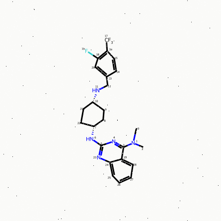 CN(C)c1nc(N[C@H]2CC[C@@H](NCc3ccc(C(F)(F)F)c(F)c3)CC2)nc2ccccc12